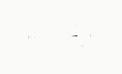 C[C@@H]1C[CH][C@@H](C(C)(C)O)CC1